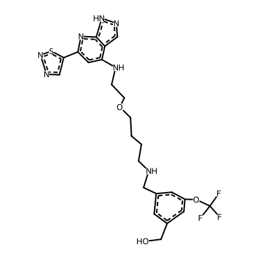 OCc1cc(CNCCCCOCCNc2cc(-c3cnns3)nc3[nH]ncc23)cc(OC(F)(F)F)c1